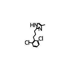 Cc1c[nH]c(CCCc2c(Cl)cccc2Cl)n1